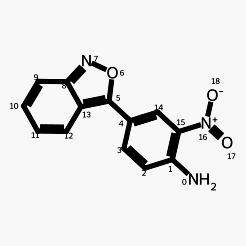 Nc1ccc(-c2onc3ccccc23)cc1[N+](=O)[O-]